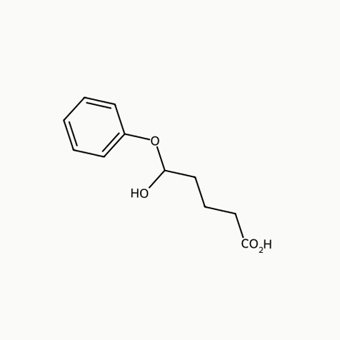 O=C(O)CCCC(O)Oc1ccccc1